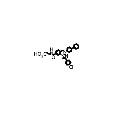 O=C(O)CCNC(=O)c1ccc(CN(c2ccc(C3=CCCCC3)cc2)c2nc(-c3ccc(Cl)cc3)cs2)cc1